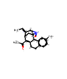 C/C=C1/CN2CC[C@]34C(=C(C(=O)OC)C1C[C@H]23)CCc1ccc(OC(C)=O)cc14